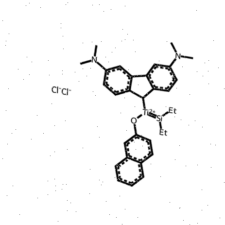 CC[Si](CC)=[Ti+2]([O]c1ccc2ccccc2c1)[CH]1c2ccc(N(C)C)cc2-c2cc(N(C)C)ccc21.[Cl-].[Cl-]